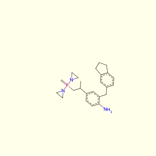 C=P(CC(C)c1ccc(N)c(Cc2ccc3c(c2)CCC3)c1)(N1CC1)N1CC1